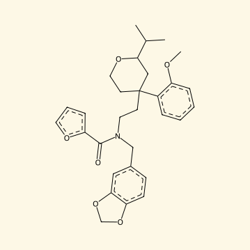 COc1ccccc1C1(CCN(Cc2ccc3c(c2)OCO3)C(=O)c2ccco2)CCOC(C(C)C)C1